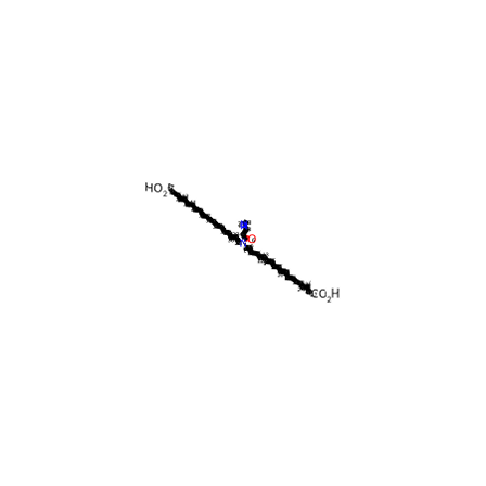 CN(C)CCC(=O)N(CCCCCCCCCCC=CCCCCCCCC(=O)O)CCCCCCCCCCC=CCCCCCCCC(=O)O